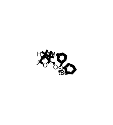 CO[C@H]1[C@@H]2[C@@H](C)O[C@@]1(CO[Si](c1ccccc1)(c1ccccc1)C(C)(C)C)C(C)(C)C2(C)C